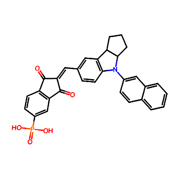 O=C1/C(=C/c2ccc3c(c2)C2CCCC2N3c2ccc3ccccc3c2)C(=O)c2cc(P(=O)(O)O)ccc21